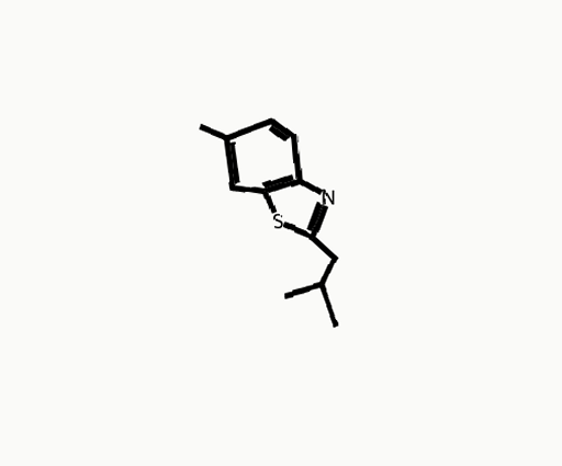 Cc1ccc2nc(CC(C)C)sc2c1